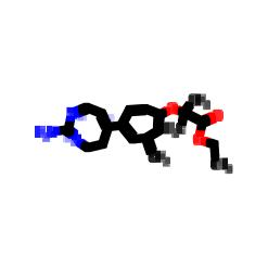 C=C1C=C(OC(C)(C)C(=O)OCC)C=CC(/C2=C/C=N\C(N)=N/CC2)=C1